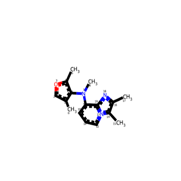 Cc1coc(C)c1N(C)c1cccn2c(C)c(C)nc12